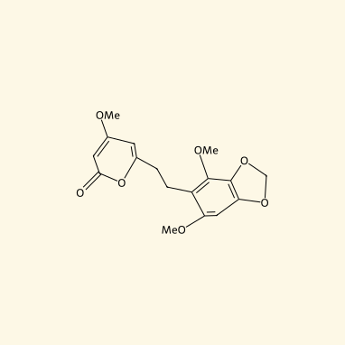 COc1cc(CCc2c(OC)cc3c(c2OC)OCO3)oc(=O)c1